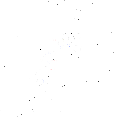 O=C(O)C1=C(S/C=C\c2cccnc2)CS[C@H]2C(NC(=O)C(CO)c3csc(NC(c4ccccc4)(c4ccccc4)c4ccccc4)n3)C(=O)N12